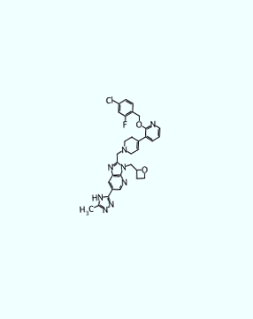 Cc1nnc(-c2cnc3c(c2)nc(CN2CC=C(c4cccnc4OCc4ccc(Cl)cc4F)CC2)n3CC2CCO2)[nH]1